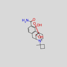 CC1(N2CCC34CC(=O)CCC3(O)C2Cc2ccc(C(N)=O)c(O)c24)CCC1